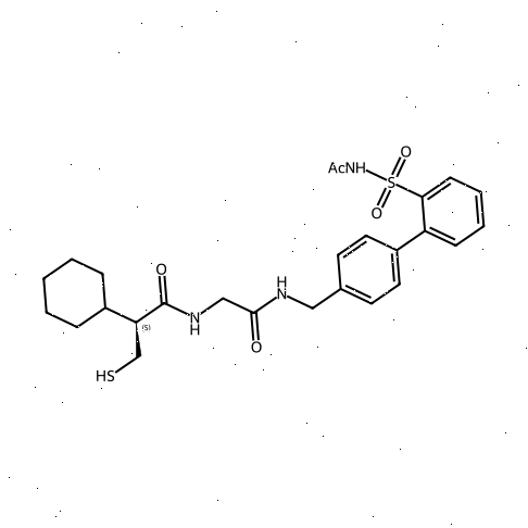 CC(=O)NS(=O)(=O)c1ccccc1-c1ccc(CNC(=O)CNC(=O)[C@@H](CS)C2CCCCC2)cc1